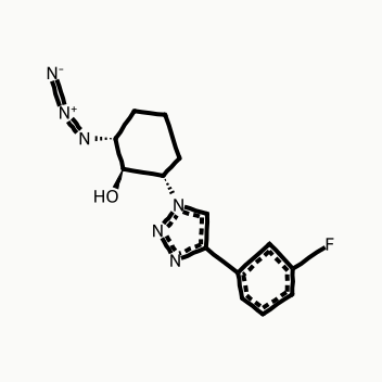 [N-]=[N+]=N[C@@H]1CCC[C@H](n2cc(-c3cccc(F)c3)nn2)[C@H]1O